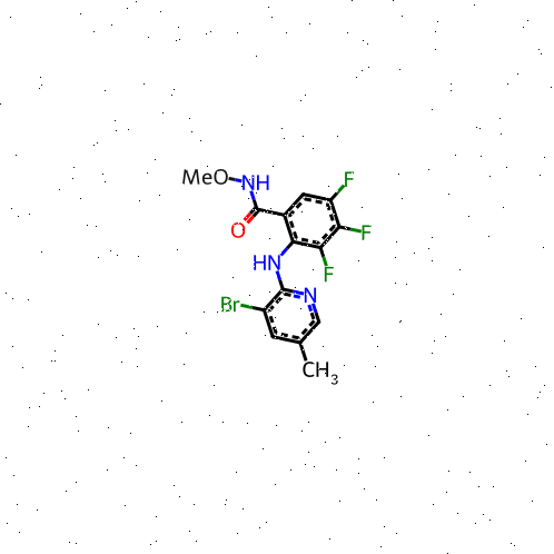 CONC(=O)c1cc(F)c(F)c(F)c1Nc1ncc(C)cc1Br